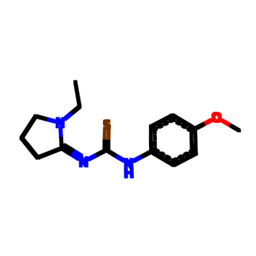 CCN1CCCC1=NC(=S)Nc1ccc(OC)cc1